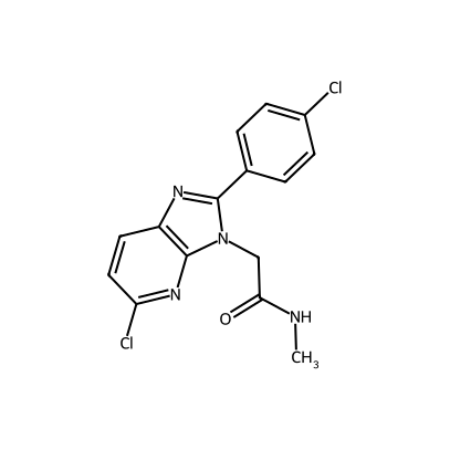 CNC(=O)Cn1c(-c2ccc(Cl)cc2)nc2ccc(Cl)nc21